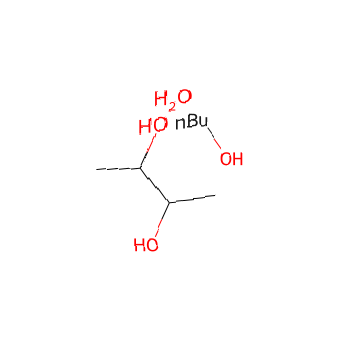 CC(O)C(C)O.CCCCO.O